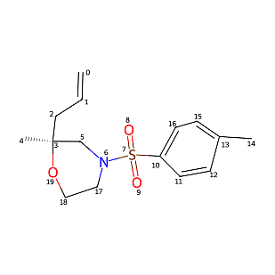 C=CC[C@@]1(C)CN(S(=O)(=O)c2ccc(C)cc2)CCO1